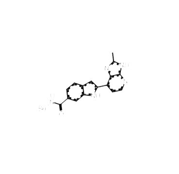 CC[C@@H](C)NC(=O)c1ccc2cc(-c3ccnc4[nH]c(C)nc34)[nH]c2c1